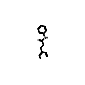 C=C/C(=C\C)CCC(=O)Nc1ccccc1